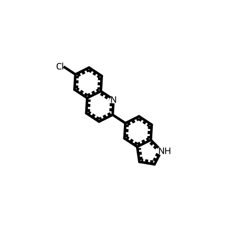 Clc1ccc2nc(-c3ccc4[nH]ccc4c3)ccc2c1